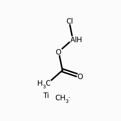 CC(=O)[O][AlH][Cl].[CH3].[Ti]